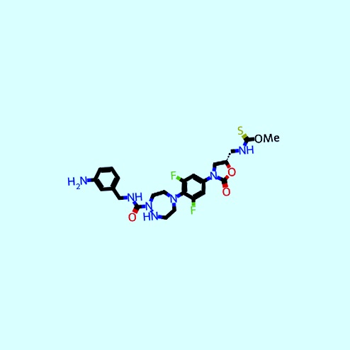 COC(=S)NC[C@H]1CN(c2cc(F)c(N3CCNN(C(=O)NCc4cccc(N)c4)CC3)c(F)c2)C(=O)O1